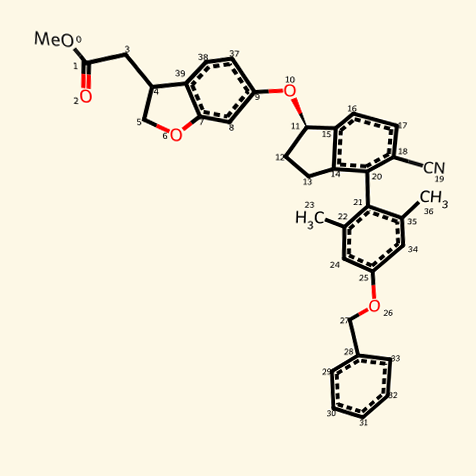 COC(=O)CC1COc2cc(O[C@@H]3CCc4c3ccc(C#N)c4-c3c(C)cc(OCc4ccccc4)cc3C)ccc21